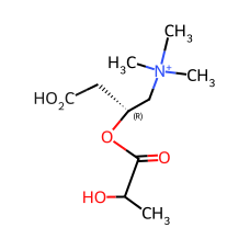 CC(O)C(=O)O[C@H](CC(=O)O)C[N+](C)(C)C